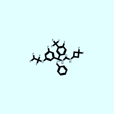 O=C(NC1CC(F)(F)C1)N[C@@](Cc1ccccc1)(c1cc(F)cc(OC(F)(F)C(F)F)c1)c1ccc(F)c(C(F)(F)F)c1